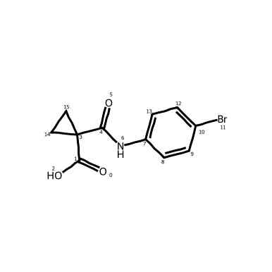 O=C(O)C1(C(=O)Nc2ccc(Br)cc2)CC1